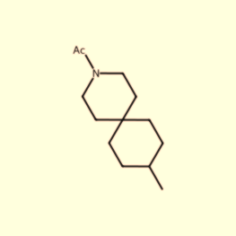 CC(=O)N1CCC2(CCC(C)CC2)CC1